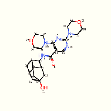 O=C(NC1C2CC3CC1CC(O)(C3)C2)c1cnc(N2CCOCC2)nc1N1CCOCC1